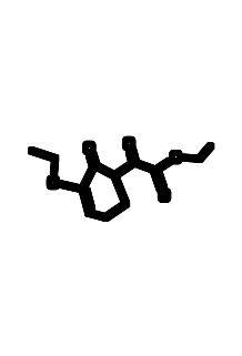 CCOC(=O)C(=O)C1CCC=C(OCC)C1=O